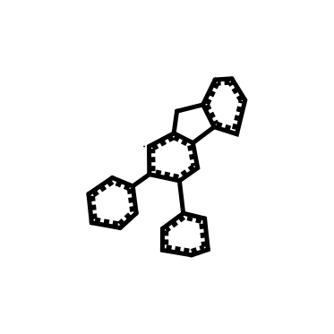 [c]1c2c(cc(-c3ccccc3)c1-c1ccccc1)-c1ccccc1C2